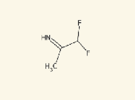 CC(=N)C(F)F